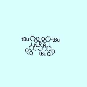 Cc1cc2c(c(C)c1N1c3cc(C(C)(C)C)cc4c3B(c3oc5ccc(C(C)(C)C)cc5c31)c1oc3ccc(C(C)(C)C)cc3c1N4c1c(C)cc3c(c1C)OCCO3)OCCO2